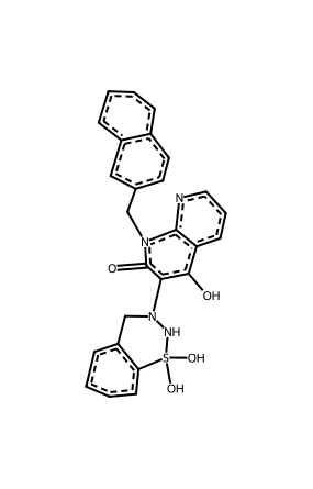 O=c1c(N2Cc3ccccc3S(O)(O)N2)c(O)c2cccnc2n1Cc1ccc2ccccc2c1